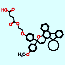 COc1ccc(C2(c3ccc(OCCOC(=O)CCC(=O)O)cc3)C=Cc3c4c(c5ccccc5c3O2)-c2ccccc2C42CCCCCCC2)cc1